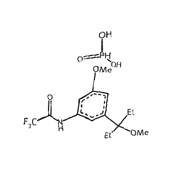 CCC(CC)(OC)c1cc(NC(=O)C(F)(F)F)cc(OC)c1.O=[PH](O)O